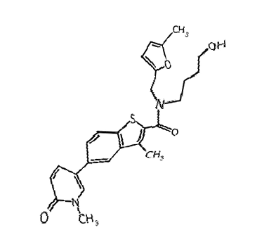 Cc1ccc(CN(CCCCO)C(=O)c2sc3ccc(-c4ccc(=O)n(C)c4)cc3c2C)o1